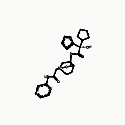 O=C(C[N+]12CCC(CC1)C(OC(=O)[C@@](O)(c1cccs1)C1CCCC1)C2)Nc1cnccn1